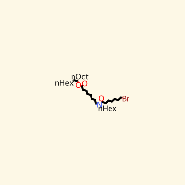 CCCCCCCCC(CCCCCC)COC(=O)CCCCCCCN(CCCCCC)C(=O)CCCCCCBr